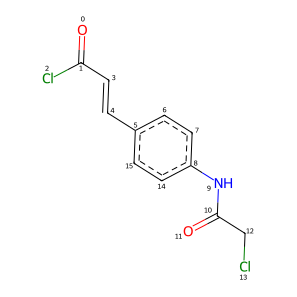 O=C(Cl)/C=C/c1ccc(NC(=O)CCl)cc1